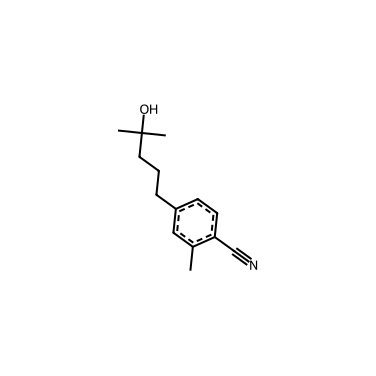 Cc1cc(CCCC(C)(C)O)ccc1C#N